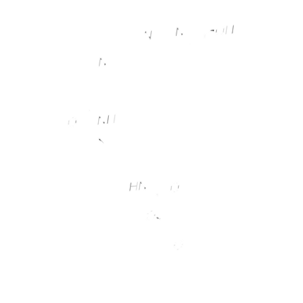 O=C(NC[C@H]1CC[C@H](CNC(=O)c2cc(-c3ccc(N4CC[C@@H](O)C4)nc3)nc3ccccc23)CC1)O[C@H]1CCOC1